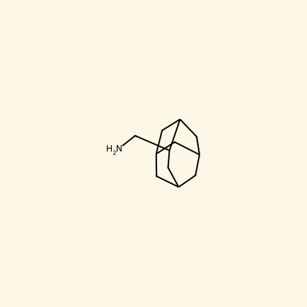 NCC1CC2CC3CC(C2)CC1C3